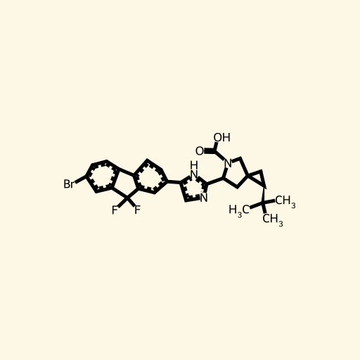 CC(C)(C)[C@@H]1CC12CC(c1ncc(-c3ccc4c(c3)C(F)(F)c3cc(Br)ccc3-4)[nH]1)N(C(=O)O)C2